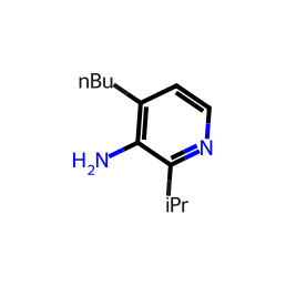 CCCCc1ccnc(C(C)C)c1N